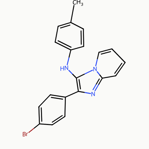 Cc1ccc(Nc2c(-c3ccc(Br)cc3)nc3ccccn23)cc1